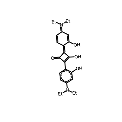 CCN(CC)c1ccc(C2=C(O)/C(=C3/C=CC(=[N+](CC)CC)C=C3O)C2=O)c(O)c1